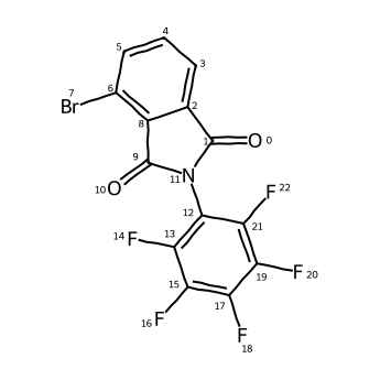 O=C1c2cccc(Br)c2C(=O)N1c1c(F)c(F)c(F)c(F)c1F